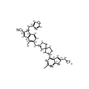 Cc1nc(N2CCC3(CCN(Cc4ccc5c(cc(C#N)n5Cc5cocn5)c4C)C3)C2)c2cc(CC(F)(F)F)sc2n1